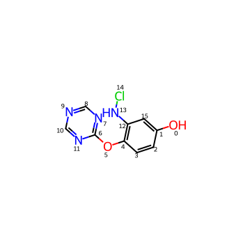 Oc1ccc(Oc2ncncn2)c(NCl)c1